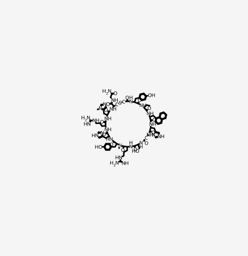 CCC1NC(=O)C(Cc2ccc(O)cc2)NC(=O)CSCC(C(=O)NCC(N)=O)NC(=O)C(Cc2cncn2C)NC(=O)C(CCCNC(=N)N)NC(=O)C(Cc2c[nH]cn2)NC(=O)C(Cc2ccc(O)cc2)N(C)C(=O)C(CCCNC(=N)N)NC(=O)C(CO)NC(=O)CNC(=O)C(Cc2c[nH]cn2)NC(=O)C(Cc2cccc3ccccc23)NC1=O